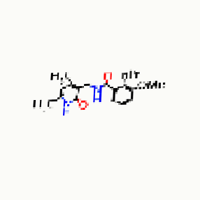 CCCc1c(OC)cccc1C(=O)NCc1c(C)cc(C)[nH]c1=O